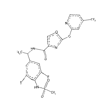 CC(NC(=O)c1coc(Oc2cc(C(F)(F)F)ccn2)n1)c1cc(F)c(NS(C)(=O)=O)c(F)c1